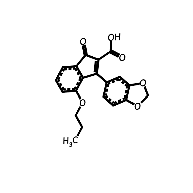 CCCOc1cccc2c1C(c1ccc3c(c1)OCO3)=C(C(=O)O)C2=O